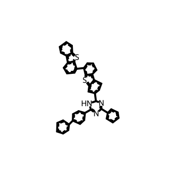 c1ccc(C2=NC(c3ccc4c(c3)sc3c(-c5cccc6c5sc5ccccc56)cccc34)NC(c3ccc(-c4ccccc4)cc3)=N2)cc1